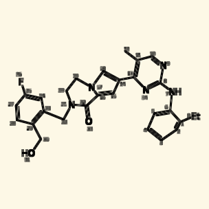 CCc1ccccc1Nc1ncc(C)c(-c2cc3n(c2)CCN(Cc2cc(F)ccc2CO)C3=O)n1